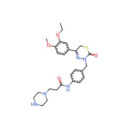 CCOc1cc(C2=NN(Cc3ccc(NC(=O)CCN4CCNCC4)cc3)C(=O)SC2)ccc1OC